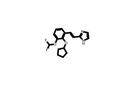 FC(F)Oc1cccc(/C=C/c2ncc[nH]2)c1OC1CCCC1